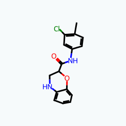 Cc1ccc(NC(=O)C2CNc3ccccc3O2)cc1Cl